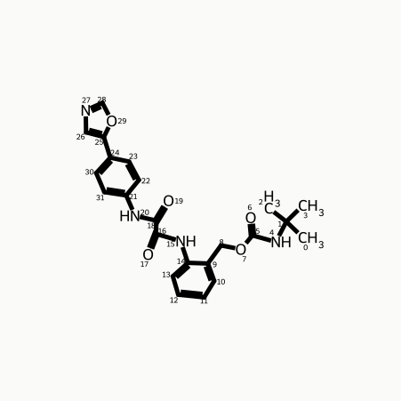 CC(C)(C)NC(=O)OCc1ccccc1NC(=O)C(=O)Nc1ccc(-c2cnco2)cc1